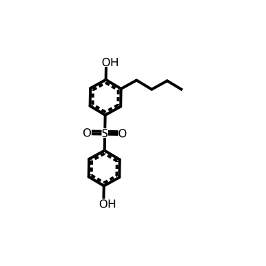 CCCCc1cc(S(=O)(=O)c2ccc(O)cc2)ccc1O